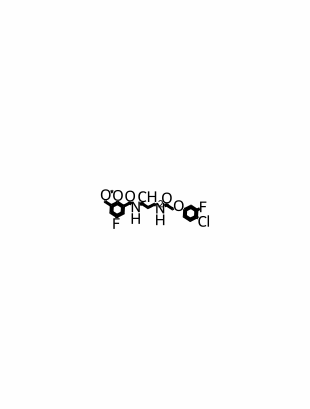 C=C(CCNC(=O)COc1ccc(Cl)c(F)c1)NC(=O)c1cc(F)cc2c1OCOC2